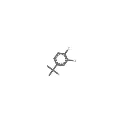 CC(I)(I)c1ccc(Cl)c(Cl)c1